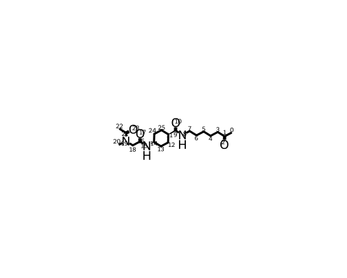 CC(=O)CCCCCNC(=O)[C@H]1CC[C@H](NC(=O)CN(C)C(C)=O)CC1